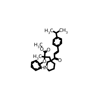 COC(=O)C(C)(CC1(C(=O)C=Cc2ccc(C(C)C)cc2)CCCNC1)Oc1ccccc1